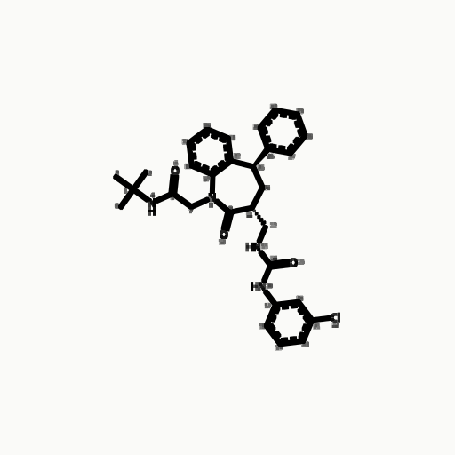 CC(C)(C)NC(=O)CN1C(=O)[C@@H](CNC(=O)Nc2cccc(Cl)c2)C[C@H](c2ccccc2)c2ccccc21